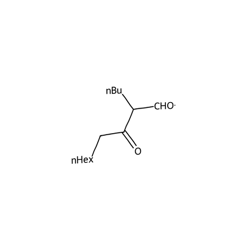 CCCCCCCC(=O)C([C]=O)CCCC